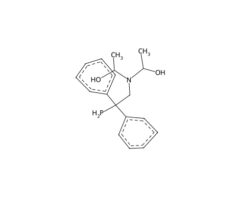 CC(O)N(CC(P)(c1ccccc1)c1ccccc1)C(C)O